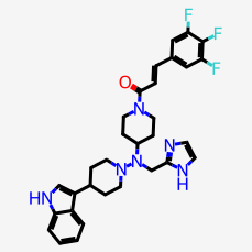 O=C(/C=C/c1cc(F)c(F)c(F)c1)N1CCC(N(Cc2ncc[nH]2)N2CCC(c3c[nH]c4ccccc34)CC2)CC1